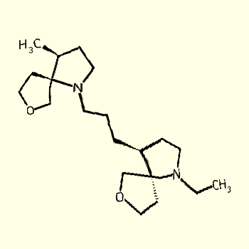 CCN1CC[C@H](CCCN2CC[C@H](C)[C@]23CCOC3)[C@@]12CCOC2